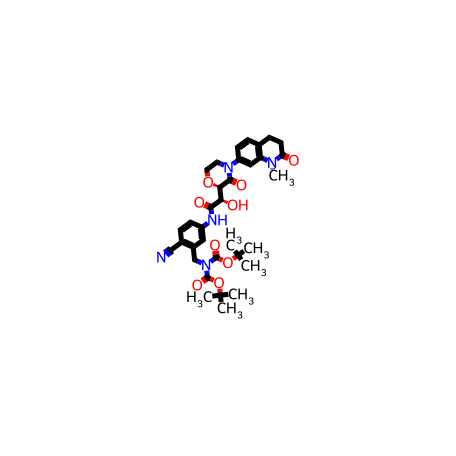 CN1C(=O)CCc2ccc(N3CCO[C@H]([C@@H](O)C(=O)Nc4ccc(C#N)c(CN(C(=O)OC(C)(C)C)C(=O)OC(C)(C)C)c4)C3=O)cc21